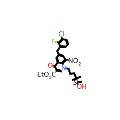 CCOC(=O)c1cn(CCCC(C)(C)[Si](C)(C)O)c2c([N+](=O)[O-])cc(Cc3cccc(Cl)c3F)cc2c1=O